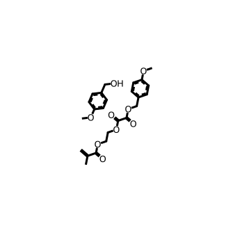 C=C(C)C(=O)OCCOC(=O)C(=O)OCc1ccc(OC)cc1.COc1ccc(CO)cc1